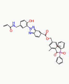 C=CC(=O)NCc1ccc(O)c(-n2nc3ccc(C(=O)OCc4cc(C)c(C(=O)P(=O)(c5ccccc5)c5ccccc5)c(C)c4)cc3n2)c1